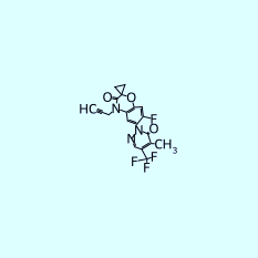 C#CCN1C(=O)C2(CC2)Oc2cc(F)c(-n3ncc(C(F)(F)F)c(C)c3=O)cc21